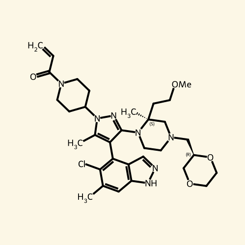 C=CC(=O)N1CCC(n2nc(N3CCN(C[C@@H]4COCCO4)C[C@]3(C)CCOC)c(-c3c(Cl)c(C)cc4[nH]ncc34)c2C)CC1